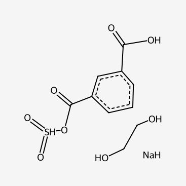 O=C(O)c1cccc(C(=O)O[SH](=O)=O)c1.OCCO.[NaH]